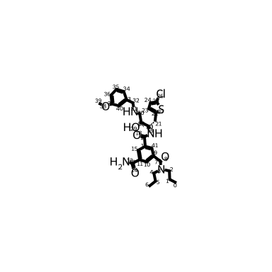 CCCN(CCC)C(=O)c1cc(C(N)=O)cc(C(=O)N[C@@H](Cc2ccc(Cl)s2)[C@H](O)CNCc2cccc(OC)c2)c1